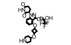 Cc1nn(C2CCC(=O)NC2=O)c2cccc(OC3CC(OC4CCNCC4)C3)c12.O=C(O)C(F)(F)F